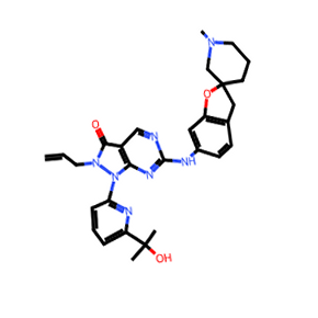 C=CCn1c(=O)c2cnc(Nc3ccc4c(c3)OC3(CCCN(C)C3)C4)nc2n1-c1cccc(C(C)(C)O)n1